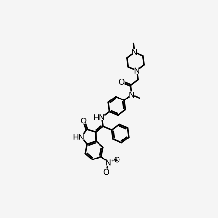 CN1CCN(CC(=O)N(C)c2ccc(N/C(=C3\C(=O)Nc4ccc([N+](=O)[O-])cc43)c3ccccc3)cc2)CC1